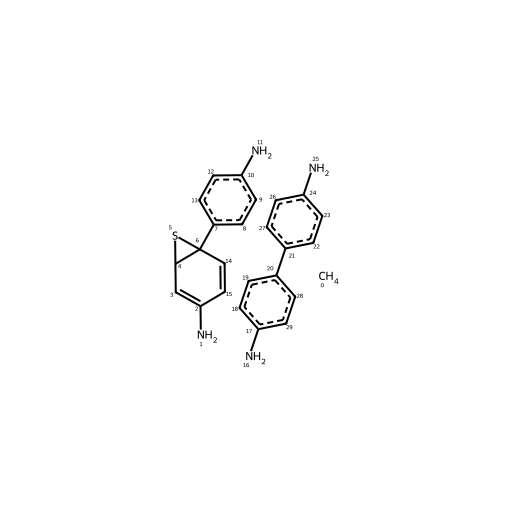 C.NC1=CC2SC2(c2ccc(N)cc2)C=C1.Nc1ccc(-c2ccc(N)cc2)cc1